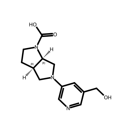 O=C(O)N1CC[C@@H]2CN(c3cncc(CO)c3)C[C@@H]21